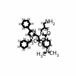 CN(C)C1CCN(C(=O)N(CC(F)CN)[C@@H](c2nc(-c3ccccc3)cn2Cc2ccccc2)C(C)(C)C)CC1